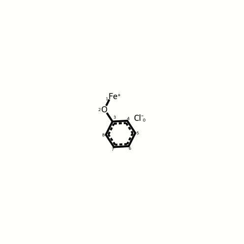 [Cl-].[Fe+][O]c1ccccc1